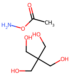 CC(=O)ON.OCC(CO)(CO)CO